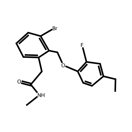 CCc1ccc(OCc2c(Br)cccc2CC(=O)NC)c(F)c1